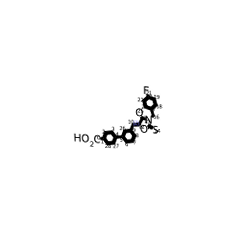 O=C(O)c1ccc(-c2cccc(/C=C3\OC(=S)N(Cc4ccc(F)cc4)C3=O)c2)cc1